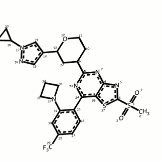 CS(=O)(=O)c1nc2nc(C3CCOC(c4cnn(C5CC5)c4)C3)nc(-c3ccc(C(F)(F)F)cc3N3CCC3)c2s1